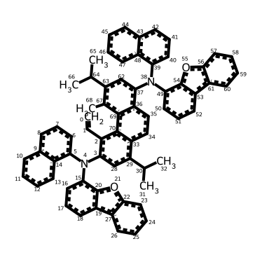 C=Cc1c(N(c2cccc3ccccc23)c2cccc3c2oc2ccccc23)cc(C(C)C)c2ccc3c(N(c4cccc5ccccc45)c4cccc5c4oc4ccccc45)cc(C(C)C)c(C)c3c12